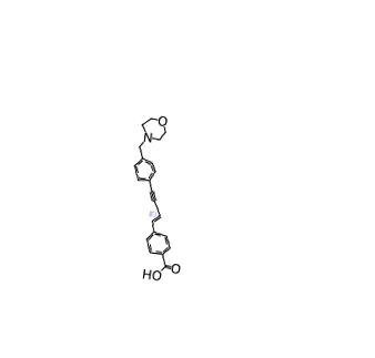 O=C(O)c1ccc(/C=C/C#Cc2ccc(CN3CCOCC3)cc2)cc1